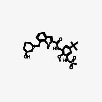 COc1c(NC(=O)c2cc3cccc(CN4CCCC(O)C4)c3n2C)cc(C(C)(C)C)cc1NS(C)(=O)=O